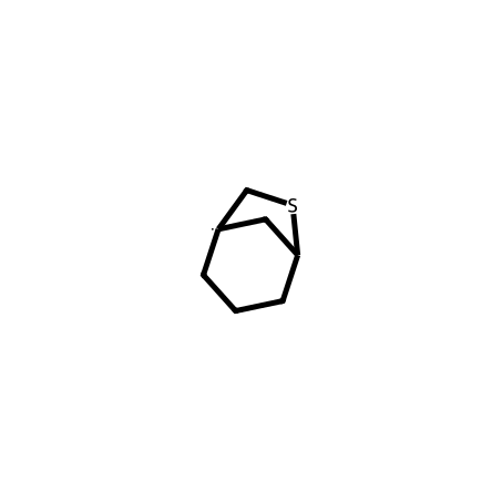 C1C[C]2CSC(C1)C2